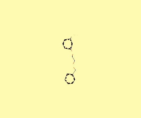 COc1[c]c(OCCOCc2ccccc2)ccc1